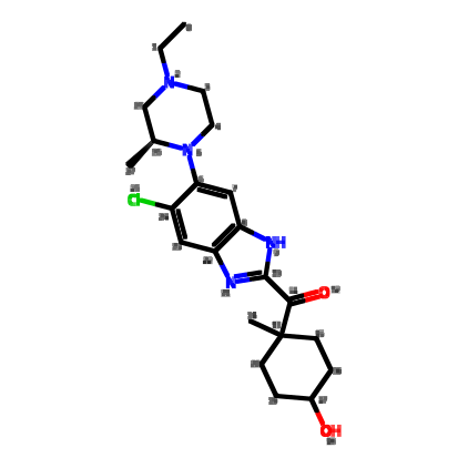 CCN1CCN(c2cc3[nH]c(C(=O)C4(C)CCC(O)CC4)nc3cc2Cl)[C@@H](C)C1